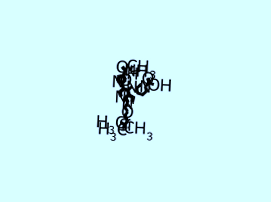 CNC(=O)c1cnc(-c2cnc3c(ccn3COCC[Si](C)(C)C)c2NC2CCCN(C(=O)O)C2)o1